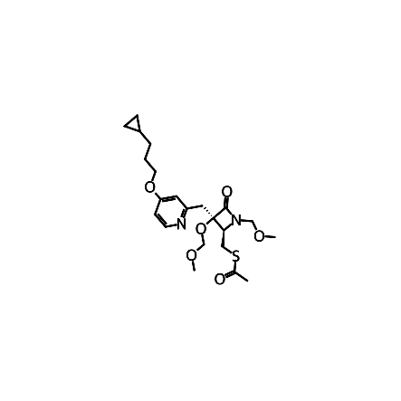 COCO[C@@]1(Cc2cc(OCCCC3CC3)ccn2)C(=O)N(COC)[C@H]1CSC(C)=O